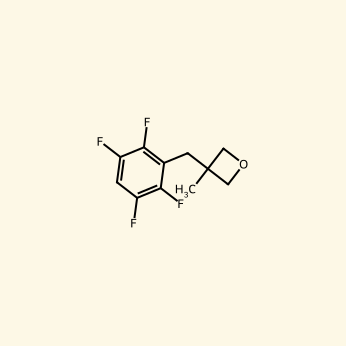 CC1(Cc2c(F)c(F)cc(F)c2F)COC1